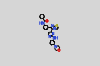 O=C(Nc1cccc(-c2nc3sccn3c2-c2ccnc(Nc3cccc(N4CCOCC4)c3)n2)c1)c1ccccc1